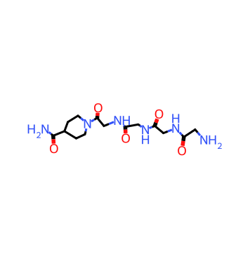 NCC(=O)NCC(=O)NCC(=O)NCC(=O)N1CCC(C(N)=O)CC1